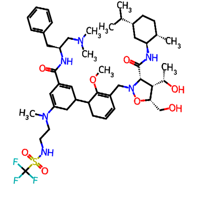 COC1=C(CN2O[C@@H](CO)[C@@H]([C@H](C)O)[C@H]2C(=O)N[C@H]2C[C@H](C(C)C)CC[C@@H]2C)C=CCC1C1C=C(C(=O)N[C@@H](Cc2ccccc2)CN(C)C)C=C(N(C)CCNS(=O)(=O)C(F)(F)F)C1